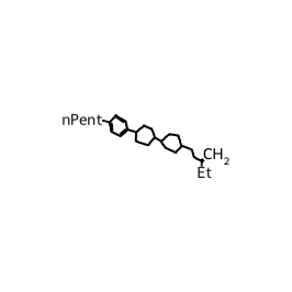 C=C(CC)CCC1CCC(C2CCC(c3ccc(CCCCC)cc3)CC2)CC1